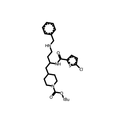 CC(C)(C)OC(=O)N1CCC(CC(CCNCc2ccccc2)NC(=O)c2ccc(Cl)s2)CC1